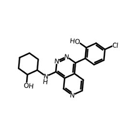 Oc1cc(Cl)ccc1-c1nnc(NC2CCCCC2O)c2cnccc12